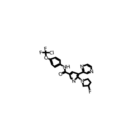 O=C(Nc1ccc(OC(F)(F)Cl)cc1)c1cnc(N2CCC(F)C2)c(-c2cnccn2)c1